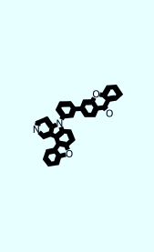 O=c1c2ccccc2oc2cc(-c3cccc(-n4c5ccncc5c5c6c(ccc54)oc4ccccc46)c3)ccc12